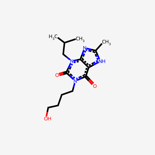 Cc1nc2c([nH]1)c(=O)n(CCCCO)c(=O)n2CC(C)C